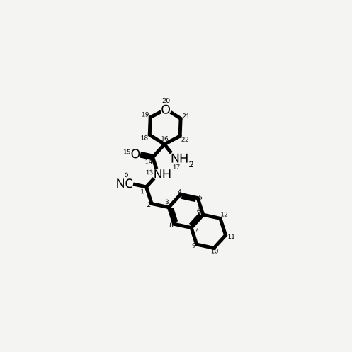 N#CC(Cc1ccc2c(c1)CCCC2)NC(=O)C1(N)CCOCC1